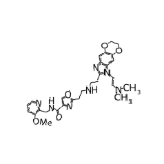 COc1cccnc1CNC(=O)c1coc(CCNCCc2nc3cc4c(cc3n2CCN(C)C)OCCO4)n1